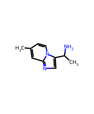 Cc1ccn2c(C(C)N)cnc2c1